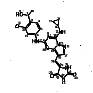 CC(O)c1ccc(Nc2nc(NC3CC3)n3ncc(/C=C4\NC(=O)NC4=O)c3n2)cc1Cl